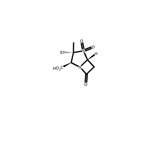 CC[C@@]1(C)[C@H](C(=O)O)N2C(=O)C[C@H]2S1(=O)=O